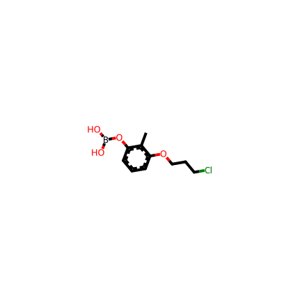 Cc1c(OCCCCl)cccc1OB(O)O